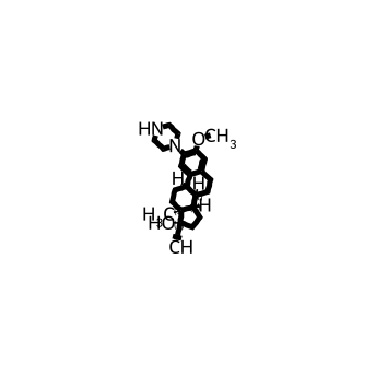 C#C[C@]1(O)CC[C@H]2[C@@H]3CCc4cc(OC)c(N5CCNCC5)cc4[C@H]3CC[C@@]21C